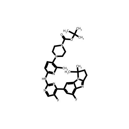 Cc1nc(Nc2ncc(F)c(-c3cc(F)c4nc5n(c4c3)C(C)(C)CC5)n2)ccc1N1CCN(C(=O)OC(C)(C)C)CC1